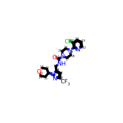 O=C(NCc1cc(C(F)(F)F)nn1C1CCOCC1)N1CCN(c2ncccc2Cl)CC1